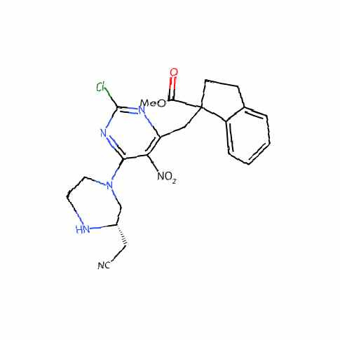 COC(=O)C1(Cc2nc(Cl)nc(N3CCN[C@@H](CC#N)C3)c2[N+](=O)[O-])CCc2ccccc21